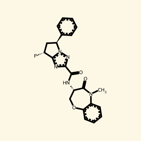 CN1C(=O)[C@@H](NC(=O)c2nc3n(n2)[C@H](c2ccccc2)C[C@H]3F)COc2ccccc21